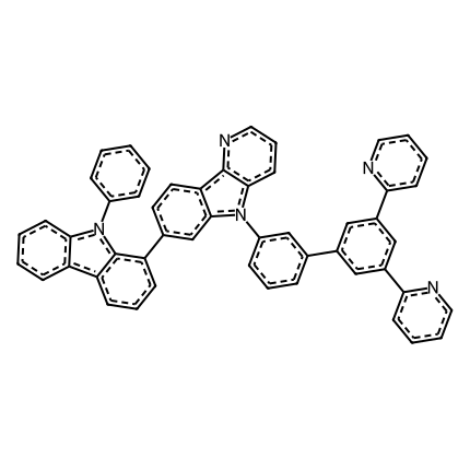 c1ccc(-n2c3ccccc3c3cccc(-c4ccc5c6ncccc6n(-c6cccc(-c7cc(-c8ccccn8)cc(-c8ccccn8)c7)c6)c5c4)c32)cc1